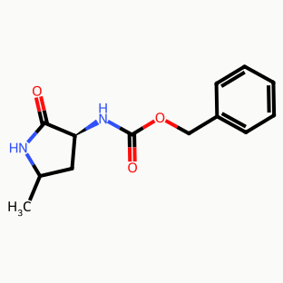 CC1C[C@H](NC(=O)OCc2ccccc2)C(=O)N1